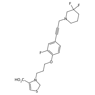 O=C(O)C1=CSCN1CCCOc1ccc(C#CCN2CCCC(F)(F)C2)cc1F